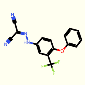 N#CC(C#N)=NNc1ccc(Oc2ccccc2)c(C(F)(F)F)c1